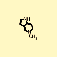 CN1C=c2cc[nH]c2=CC1